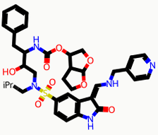 CC(C)CN(CC(O)C(Cc1ccccc1)NC(=O)OC1COC2OCCC12)S(=O)(=O)c1ccc2c(c1)C(=CNCc1ccncc1)C(=O)N2